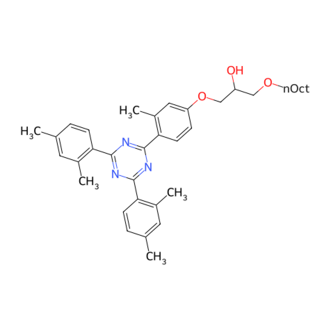 CCCCCCCCOCC(O)COc1ccc(-c2nc(-c3ccc(C)cc3C)nc(-c3ccc(C)cc3C)n2)c(C)c1